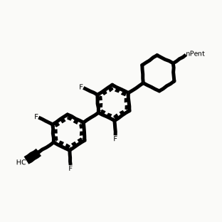 C#Cc1c(F)cc(-c2c(F)cc(C3CCC(CCCCC)CC3)cc2F)cc1F